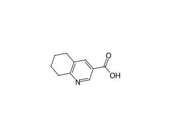 O=C(O)c1cnc2c(c1)CCCC2